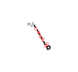 CCCCOCCOCCOCCOCCCC(=O)OC1CCCCC1